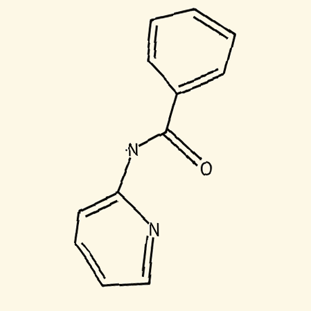 O=C([N]c1ccccn1)c1ccccc1